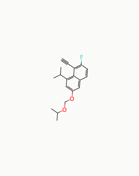 C#Cc1c(F)ccc2cc(OCOC(C)C)cc(C(C)C)c12